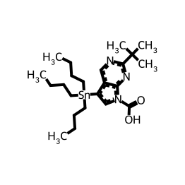 CCC[CH2][Sn]([CH2]CCC)([CH2]CCC)[c]1cn(C(=O)O)c2nc(C(C)(C)C)ncc12